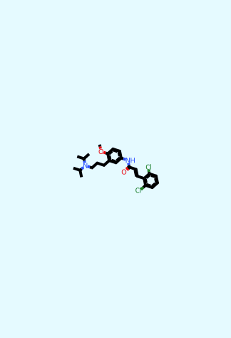 COc1ccc(NC(=O)C=Cc2c(Cl)cccc2Cl)cc1CCCN(C(C)C)C(C)C